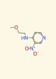 COCCNc1ccncc1[N+](=O)[O-]